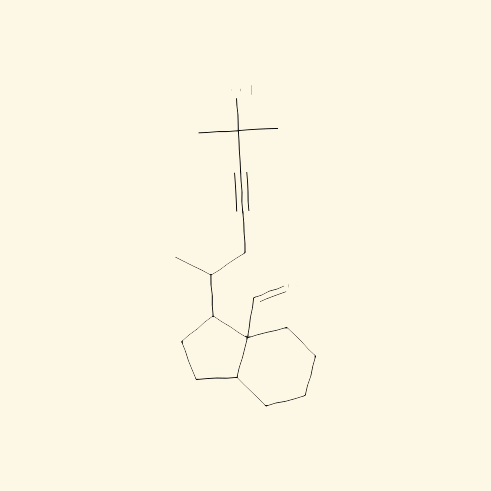 CC(CC#CC(C)(C)O)C1CCC2CCCCC21C=O